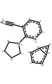 C#Cc1cccnc1N1CCCC1.c1cc2cc-2c1